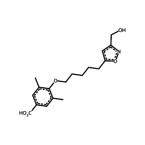 Cc1cc(C(=O)O)cc(C)c1OCCCCCc1cc(CO)no1